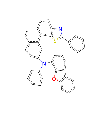 c1ccc(-c2nc3ccc4ccc5ccc(N(c6ccccc6)c6cccc7c6oc6ccccc67)cc5c4c3s2)cc1